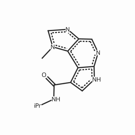 CC(C)NC(=O)c1c[nH]c2ncc3ncn(C)c3c12